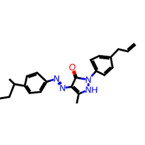 C=CCc1ccc(-n2[nH]c(C)c(N=Nc3ccc(C(C)CC)cc3)c2=O)cc1